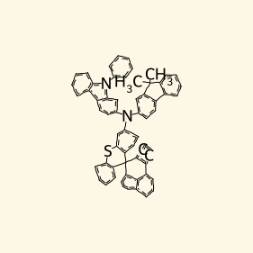 CC1(C)c2ccccc2-c2ccc(N(c3ccc4c(c3)Sc3ccccc3C43c4ccccc4-c4cccc5cccc3c45)c3ccc4c5ccccc5n(-c5ccccc5)c4c3)cc21